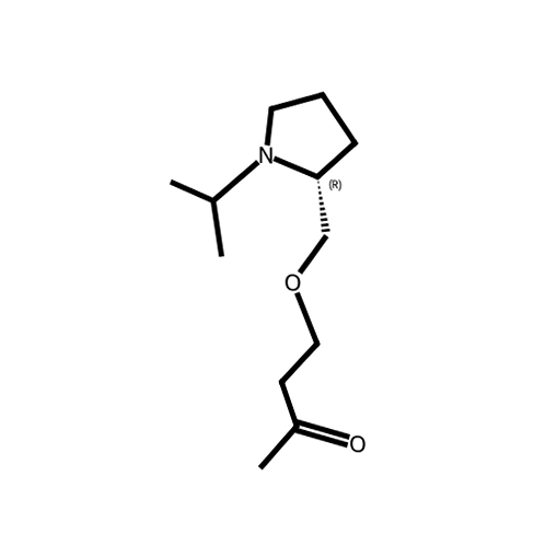 CC(=O)CCOC[C@H]1CCCN1C(C)C